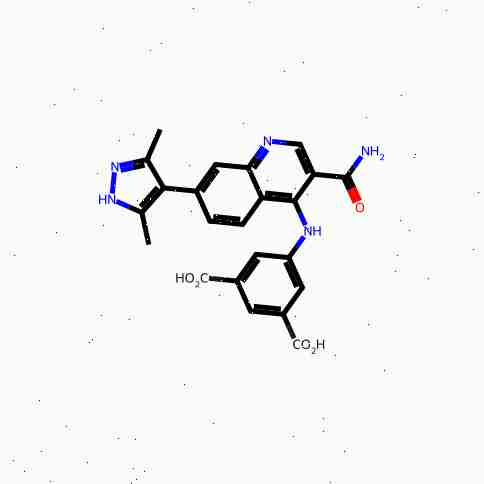 Cc1n[nH]c(C)c1-c1ccc2c(Nc3cc(C(=O)O)cc(C(=O)O)c3)c(C(N)=O)cnc2c1